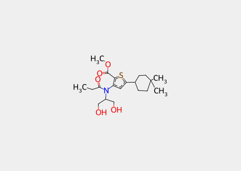 CCC(=O)N(c1cc(C2CCC(C)(C)CC2)sc1C(=O)OC)C(CO)CO